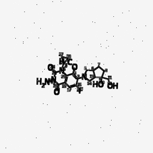 COc1c(N2CC3CCC(O)(CO)C3C2)c(F)cc2c(=O)n(N)c(=O)n(C3CC3)c12